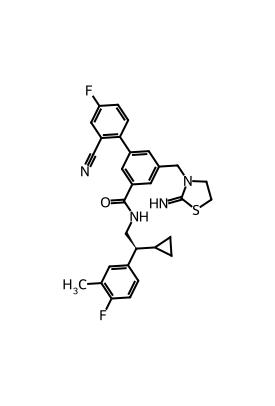 Cc1cc([C@@H](CNC(=O)c2cc(CN3CCSC3=N)cc(-c3ccc(F)cc3C#N)c2)C2CC2)ccc1F